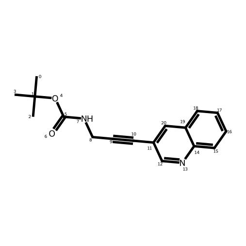 CC(C)(C)OC(=O)NCC#Cc1cnc2ccccc2c1